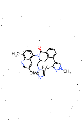 COc1cnc2c(C)ccc(N3C(=O)c4cccc(-c5cn(C)nc5C(F)(F)F)c4CC3Cn3ccnc3)c2c1